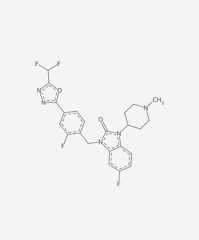 CN1CCC(n2c(=O)n(Cc3ccc(-c4nnc(C(F)F)o4)cc3F)c3cc(F)ccc32)CC1